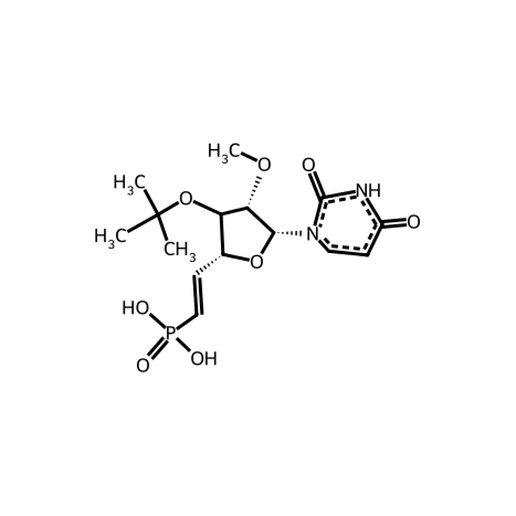 CO[C@H]1C(OC(C)(C)C)[C@@H](/C=C/P(=O)(O)O)O[C@H]1n1ccc(=O)[nH]c1=O